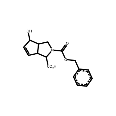 O=C(O)C1C2C=CC(O)C2CN1C(=O)OCc1ccccc1